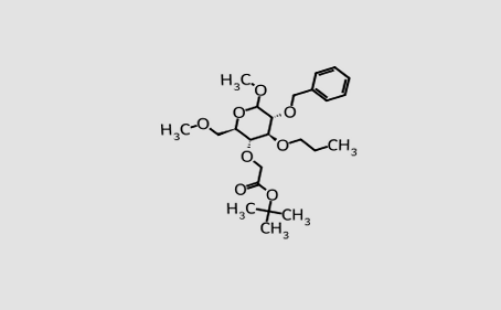 CCCO[C@H]1[C@H](OCC(=O)OC(C)(C)C)[C@@H](COC)OC(OC)[C@@H]1OCc1ccccc1